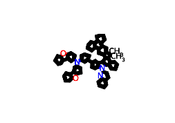 CC1(C)c2cc3c4ccccc4c4ccccc4c3cc2-c2c1c1ccccc1c1c2c2cc(-c3cccc(N(c4ccc5oc6ccccc6c5c4)c4ccc5oc6ccccc6c5c4)c3)ccc2n1-c1ccc2ccccc2n1